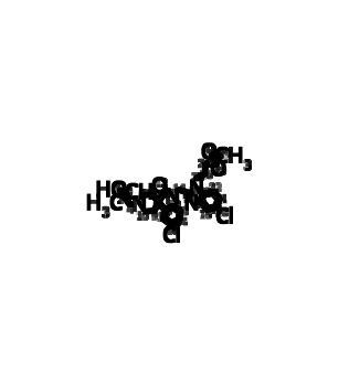 CC(C)(O)CN1CCC2(CC1)C(=O)N(Cc1nc3cc(Cl)ccc3n1CCCS(C)(=O)=O)c1ccc(Cl)cc12